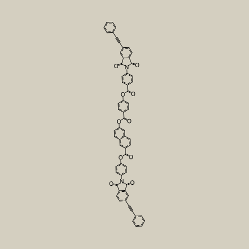 O=C(Oc1ccc(C(=O)Oc2ccc3cc(C(=O)Oc4ccc(N5C(=O)c6ccc(C#Cc7ccccc7)cc6C5=O)cc4)ccc3c2)cc1)c1ccc(N2C(=O)c3ccc(C#Cc4ccccc4)cc3C2=O)cc1